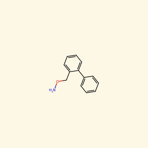 NOCc1ccccc1-c1ccccc1